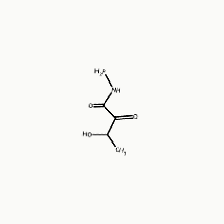 CC(O)C(=O)C(=O)NP